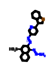 NN=Nc1c(/N=N/c2ccc(-c3csc4ccccc34)nc2)cc(S(=O)(=O)O)c2ccccc12